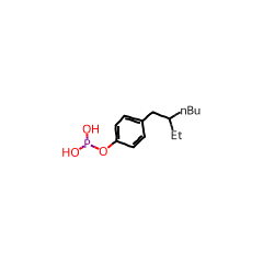 CCCCC(CC)Cc1ccc(OP(O)O)cc1